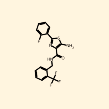 Nc1sc(-c2ccccc2F)nc1C(=O)NCc1ccccc1C(F)(F)F